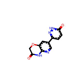 O=C1COc2cc(-c3ccc(=O)[nH]n3)cnc2N1